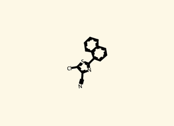 N#Cc1nc(-c2cccc3ccccc23)sc1Cl